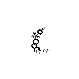 Cc1ccc2c(c1C=CC(=O)O)CCC(NS(=O)(=O)c1ccc(Cl)cc1)C2